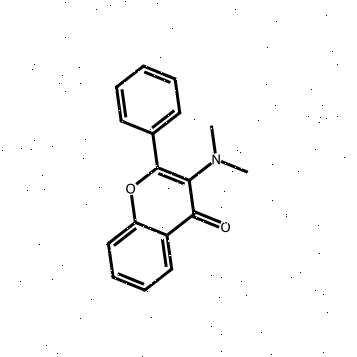 CN(C)c1c(-c2ccccc2)oc2ccccc2c1=O